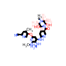 BC1(B)N(C)C(B)(B)C(B)(O)N(C(=O)c2ccc(Nc3cc(Oc4cnc(C#N)cc4C)nc(NC)c3NN)nc2)C1(B)O